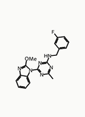 COc1nc2ccccc2n1-c1nc(C)nc(NCc2cccc(F)c2)n1